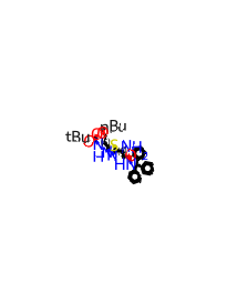 CCCCOC[C@H](NC(=O)OC(C)(C)C)c1nnc([C@@H](N)CC(=O)NC(c2ccccc2)(c2ccccc2)c2ccccc2)s1